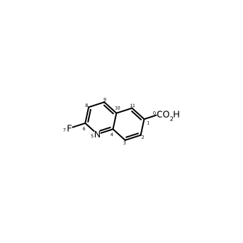 O=C(O)c1ccc2nc(F)ccc2c1